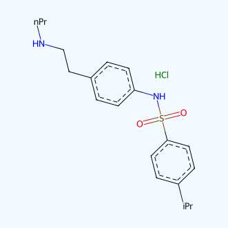 CCCNCCc1ccc(NS(=O)(=O)c2ccc(C(C)C)cc2)cc1.Cl